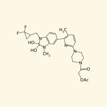 CC(=O)OCC(=O)N1CCN(c2ccc(C)c(-c3ccc4c(c3)N(C)S(O)(O)N4CC3CC3(F)F)n2)CC1